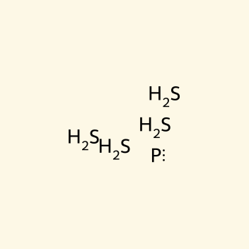 S.S.S.S.[P]